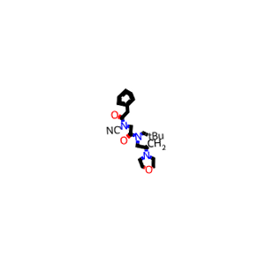 C=C(CN(CC(C)(C)C)C(=O)CN(C#N)C(=O)Cc1ccccc1)N1CCOCC1